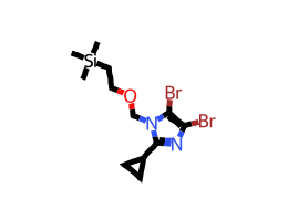 C[Si](C)(C)CCOCn1c(C2CC2)nc(Br)c1Br